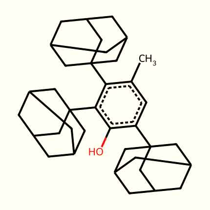 Cc1cc(C23CC4CC(CC(C4)C2)C3)c(O)c(C23CC4CC(CC(C4)C2)C3)c1C12CC3CC(CC(C3)C1)C2